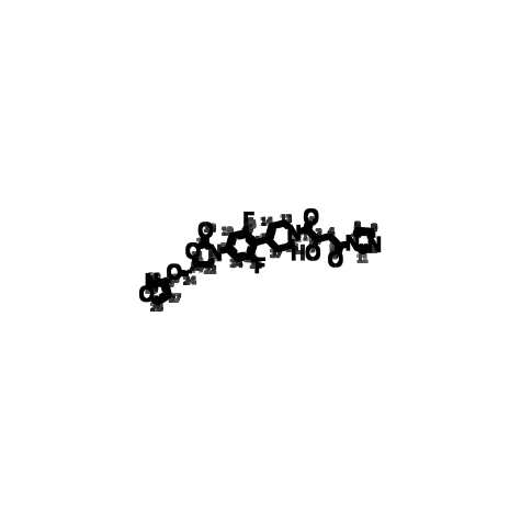 O=C([C@H](O)CC(=O)n1ccnc1)N1CC=C(c2c(F)cc(N3C[C@H](COc4ccon4)OC3=O)cc2F)CC1